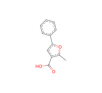 Cc1oc(-c2ccccc2)cc1C(=O)O